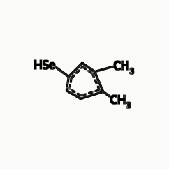 Cc1ccc([SeH])cc1C